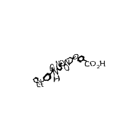 CCC1CCCCN1Cc1ccc(C(=O)Nc2ccc(OC(=O)N3CCC(Oc4ccc(CC(=O)O)cc4)CC3)nc2)cc1